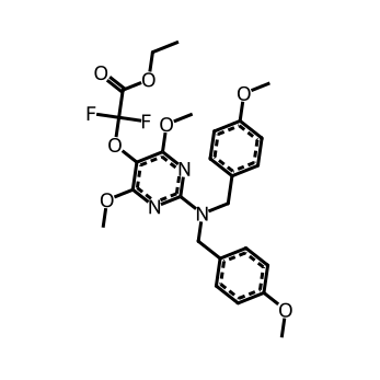 CCOC(=O)C(F)(F)Oc1c(OC)nc(N(Cc2ccc(OC)cc2)Cc2ccc(OC)cc2)nc1OC